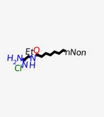 CCCCCCCCCCCCCCCC(=O)N[C@@H](CC)/C(N)=N/Cl